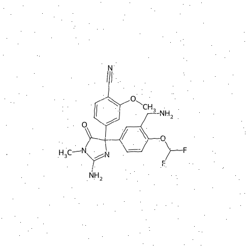 COc1cc(C2(c3ccc(OC(F)F)c(CN)c3)N=C(N)N(C)C2=O)ccc1C#N